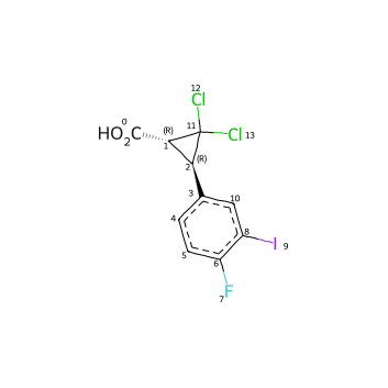 O=C(O)[C@H]1[C@H](c2ccc(F)c(I)c2)C1(Cl)Cl